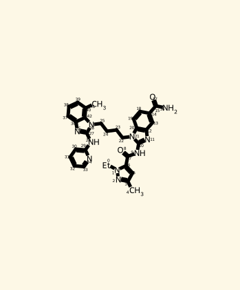 CCn1nc(C)cc1C(=O)Nc1nc2cc(C(N)=O)ccc2n1CCCCn1c(Nc2ccccn2)nc2cccc(C)c21